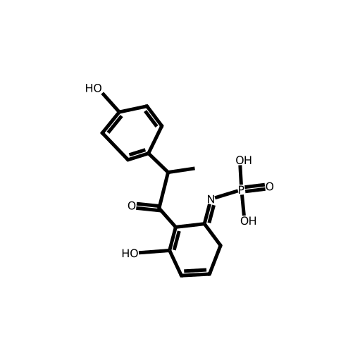 CC(C(=O)C1=C(O)C=CCC1=NP(=O)(O)O)c1ccc(O)cc1